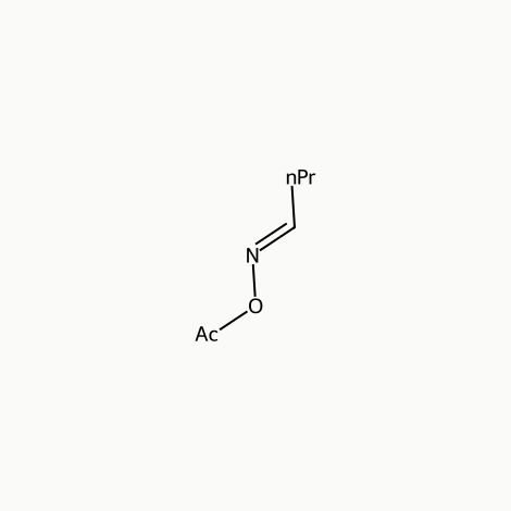 CCC/C=N/OC(C)=O